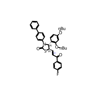 CCCCOc1ccc([C@@H]2[C@@H](/C=C/C(=O)c3ccc(F)cc3)SC(=O)N2c2ccc(-c3ccccc3)cc2)c(OCCCC)c1